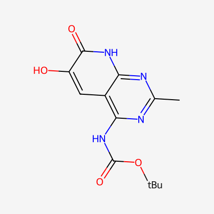 Cc1nc(NC(=O)OC(C)(C)C)c2cc(O)c(=O)[nH]c2n1